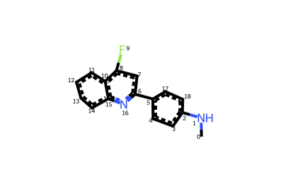 CNc1ccc(-c2cc(F)c3ccccc3n2)cc1